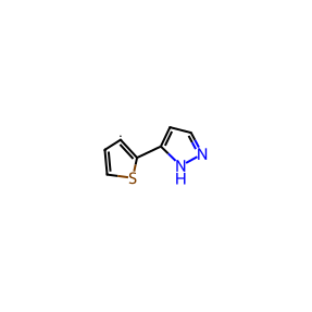 [c]1ccsc1-c1ccn[nH]1